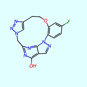 Oc1nc2nc3c1cnn3-c1ccc(F)cc1OCCc1cn(nn1)C2